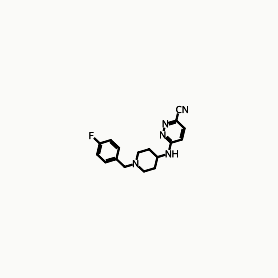 N#Cc1ccc(NC2CCN(Cc3ccc(F)cc3)CC2)nn1